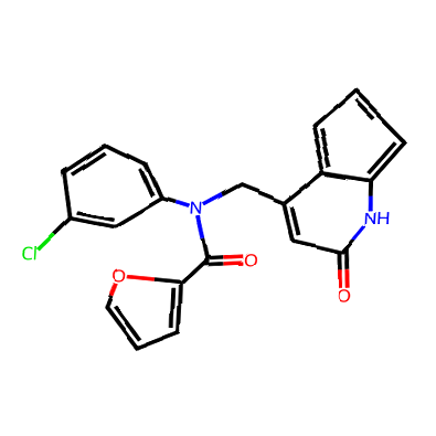 O=C(c1ccco1)N(Cc1cc(=O)[nH]c2ccccc12)c1cccc(Cl)c1